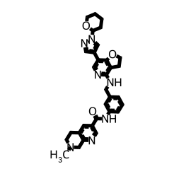 CN1CCc2cc(C(=O)Nc3cccc(CNc4ncc(-c5cnn(C6CCCCO6)c5)c5c4CCO5)c3)cnc2C1